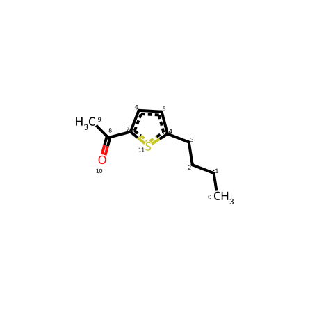 C[CH]CCc1ccc(C(C)=O)s1